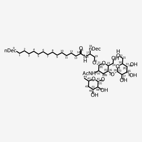 CCCCCCCCCCCCCCCCCCCCCCCC(=O)NC(CCCCCCCCCC)CO[C@@H]1OC(CO)[C@@H](O[C@@H]2OC(CO)[C@H](O)[C@H](O)C2O)[C@H](O[C@@H]2OC(C)C[C@H](O)C2O)C1NC(C)=O